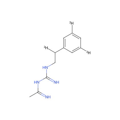 [2H]c1cc([2H])cc(C([2H])CNC(=N)NC(C)=N)c1